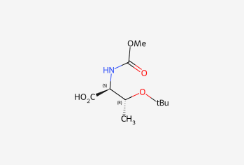 COC(=O)N[C@H](C(=O)O)[C@@H](C)OC(C)(C)C